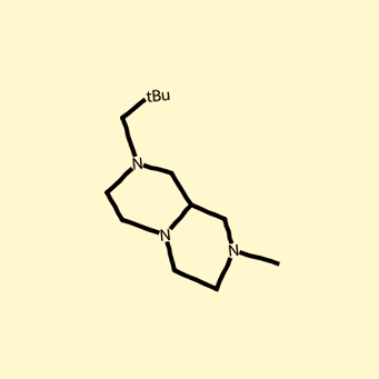 CN1CCN2CCN(CC(C)(C)C)CC2C1